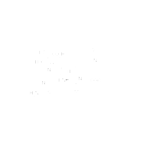 CC(C)(O/N=C(\C(=O)N[C@@H]1C(=O)N2C(C(=O)[O-])=C(C[n+]3csc4c3CCCC4)CS[C@H]12)c1csc(N)n1)C(=O)O